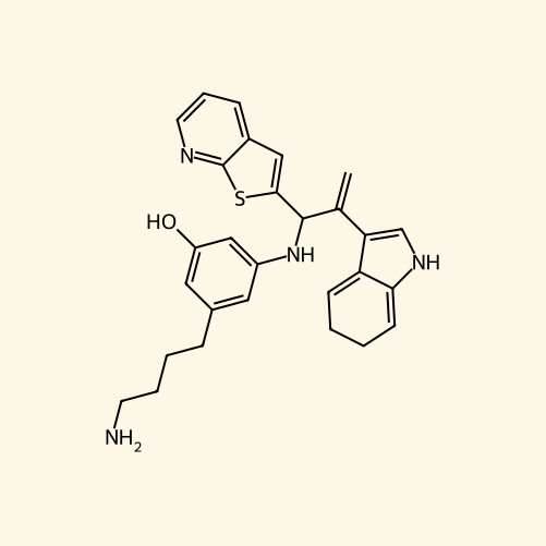 C=C(c1c[nH]c2c1=CCCC=2)C(Nc1cc(O)cc(CCCCN)c1)c1cc2cccnc2s1